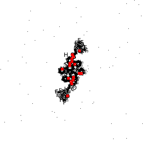 COc1ccc2sc(/C(C#N)=c3\c4c(-c5ccc(OCCCCS(=O)(=O)C(S(=O)(=O)C(F)(F)F)S(=O)(=O)C(F)(F)F)cc5)n(B(c5ccccc5)c5ccccc5)/c(=C(\C#N)c5nc6cc(OC)ccc6s5)c4c(-c4ccc(OCCCCS(=O)(=O)C(S(=O)(=O)C(F)(F)F)S(=O)(=O)C(F)(F)F)cc4)n3B(c3ccccc3)c3ccccc3)nc2c1